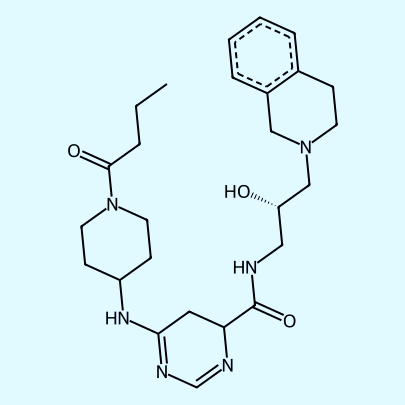 CCCC(=O)N1CCC(NC2=NC=NC(C(=O)NC[C@H](O)CN3CCc4ccccc4C3)C2)CC1